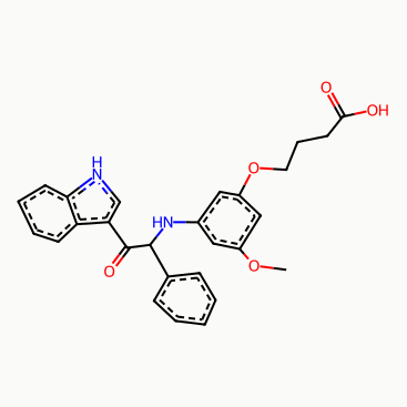 COc1cc(NC(C(=O)c2c[nH]c3ccccc23)c2ccccc2)cc(OCCCC(=O)O)c1